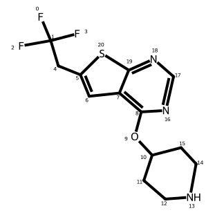 FC(F)(F)Cc1cc2c(OC3CCNCC3)ncnc2s1